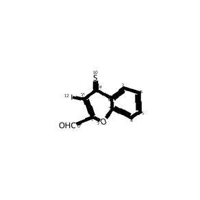 O=Cc1oc2ccccc2c(=S)c1I